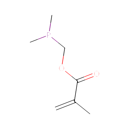 C=C(C)C(=O)OCP(C)C